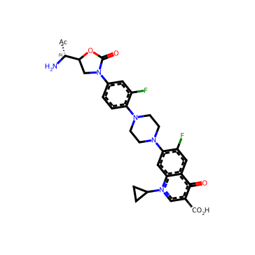 CC(=O)[C@@H](N)C1CN(c2ccc(N3CCN(c4cc5c(cc4F)c(=O)c(C(=O)O)cn5C4CC4)CC3)c(F)c2)C(=O)O1